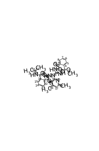 COC(=O)c1ccccc1S(=O)(=O)NC(=N)N(NS(=O)(=O)c1ccccc1C(=O)NC(C)C)c1nc(C)cc(C)n1